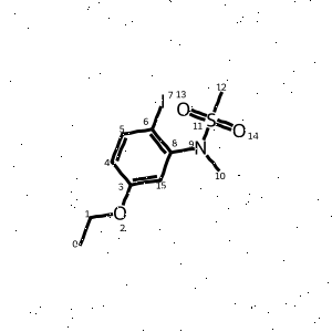 CCOc1ccc(I)c(N(C)S(C)(=O)=O)c1